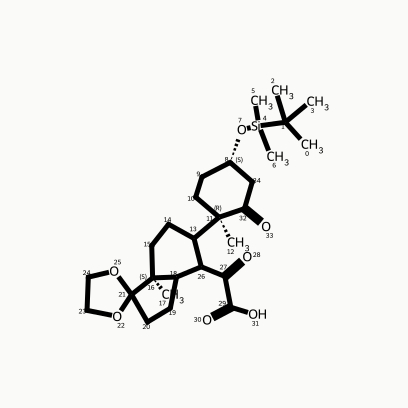 CC(C)(C)[Si](C)(C)O[C@H]1CC[C@](C)(C2CC[C@@]3(C)C(CCC34OCCO4)C2C(=O)C(=O)O)C(=O)C1